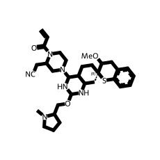 C=CC(=O)N1CCN(C2NC(OCC3CCCN3C)NC3C[C@@]4(CCC32)Sc2ccccc2CC4OC)CC1CC#N